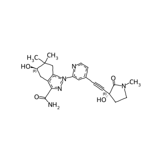 CN1CC[C@@](O)(C#Cc2ccnc(-n3nc(C(N)=O)c4c3CC(C)(C)[C@H](O)C4)c2)C1=O